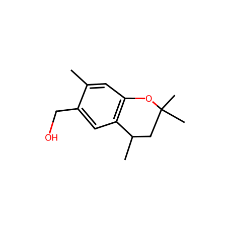 Cc1cc2c(cc1CO)C(C)CC(C)(C)O2